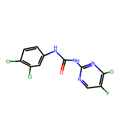 O=C(Nc1ccc(Cl)c(Cl)c1)Nc1ncc(F)c(Cl)n1